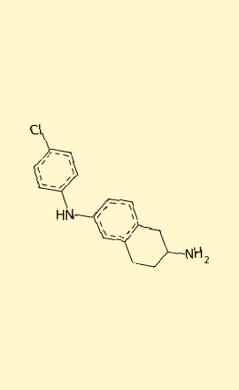 NC1CCc2cc(Nc3ccc(Cl)cc3)ccc2C1